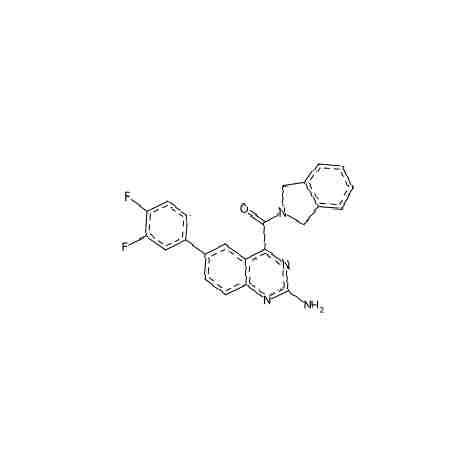 Nc1nc(C(=O)N2Cc3ccccc3C2)c2cc(-c3[c]cc(F)c(F)c3)ccc2n1